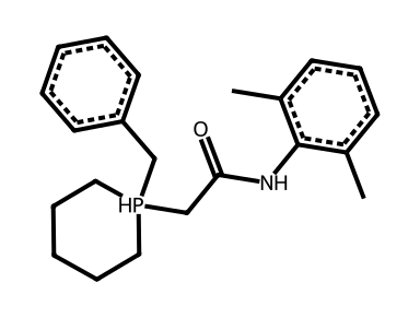 Cc1cccc(C)c1NC(=O)C[PH]1(Cc2ccccc2)CCCCC1